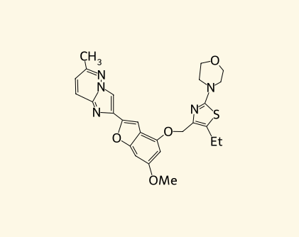 CCc1sc(N2CCOCC2)nc1COc1cc(OC)cc2oc(-c3cn4nc(C)ccc4n3)cc12